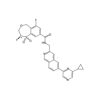 O=C(NCc1cc2cc(-c3cncc(C4CC4)n3)ccc2cn1)c1cc(F)c2c(c1)S(=O)(=O)[C@@H](F)COC2